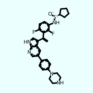 C=C(c1c(F)ccc(N[S+]([O-])C2CCCC2)c1F)c1c[nH]c2ncc(-c3ccc(N4CCNCC4)cc3)cc12